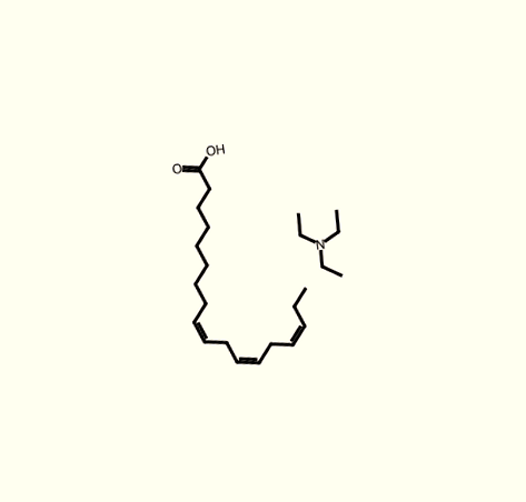 CC/C=C\C/C=C\C/C=C\CCCCCCCC(=O)O.CCN(CC)CC